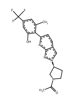 CC(=O)N1CC[C@H](n2cc3ccc(-c4c(C)cc(C(F)(F)F)cc4O)nc3n2)C1